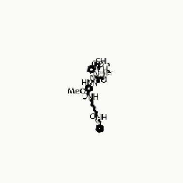 COc1cc(Nc2ncc(C(=O)OC(C)C)c(Nc3ccccc3N(C)S(C)(=O)=O)n2)ccc1C(=O)NCCCCCCC(=O)NOCc1ccccc1